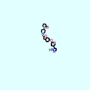 O=C1CCCN1C1CCN(C[C@@H]2Cc3ccc(Oc4ccc(-c5ccn[nH]5)cn4)cc3O2)CC1